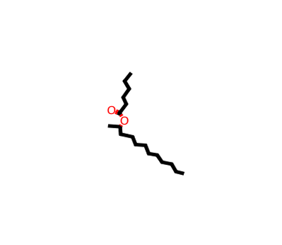 CCCCCCCCCCC(C)OC(=O)CCCCC